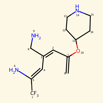 C=C(/C=C(\C=C(/N)C(F)(F)F)CN)OC1CCNCC1